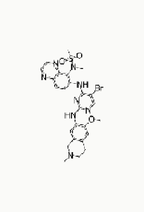 COc1cc2c(cc1Nc1ncc(Br)c(Nc3ccc4nccnc4c3N(C)S(C)(=O)=O)n1)CN(C)CC2